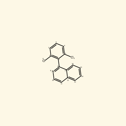 Clc1cccc(Cl)c1-c1nccc2ccccc12